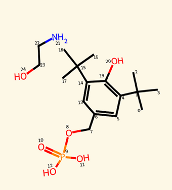 CC(C)(C)c1cc(COP(=O)(O)O)cc(C(C)(C)C)c1O.NCCO